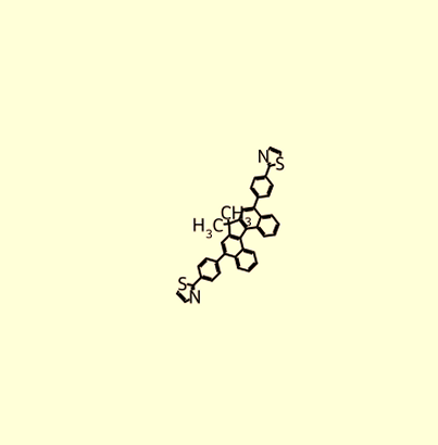 CC1(C)c2cc(-c3ccc(-c4nccs4)cc3)c3ccccc3c2-c2c1cc(-c1ccc(-c3nccs3)cc1)c1ccccc21